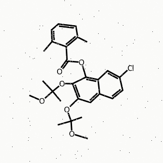 COC(C)(C)Oc1cc2ccc(Cl)cc2c(OC(=O)c2c(C)cccc2C)c1OC(C)(C)OC